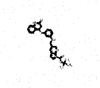 CC(C)(C)OC(=O)n1ccc2cc(CNc3cccc(Oc4cc(=O)[nH]c5ccccc45)c3)cnc21